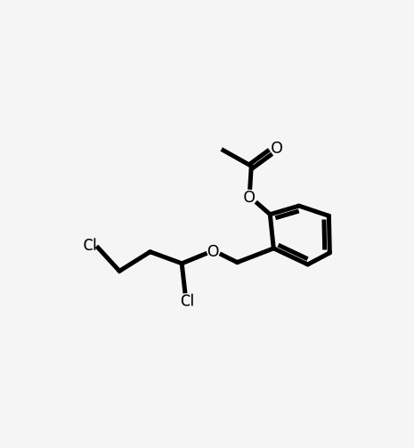 CC(=O)Oc1ccccc1COC(Cl)CCCl